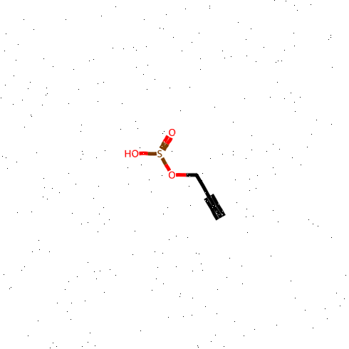 C#CCOS(=O)O